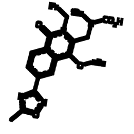 CCCCOc1c(CN(C(=O)O)C(C)(C)C)n(CC(C)C)c(=O)c2ccc(-c3noc(C)n3)cc12